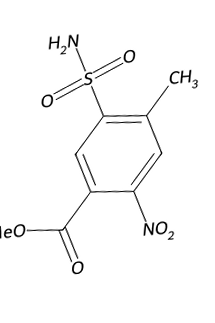 COC(=O)c1cc(S(N)(=O)=O)c(C)cc1[N+](=O)[O-]